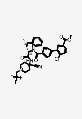 COC(=O)c1ccc(Cl)c(-c2ccc(C(=O)N[C@@H](C[C@H](C)c3ccccc3)C(=O)NC3(C#N)CCN(CC(F)(F)F)CC3)cc2)c1